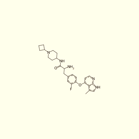 Cc1c[nH]c2nccc(Oc3ccc(CC(N)C(=O)NC4CCN(C5CCC5)CC4)cc3F)c12